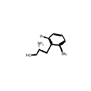 CC(C)c1cccc(C(C)(C)C)c1C[C@@H](N)CO